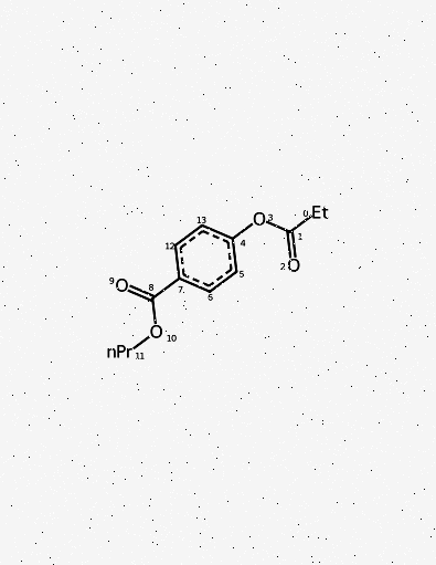 [CH2]CC(=O)Oc1ccc(C(=O)OCCC)cc1